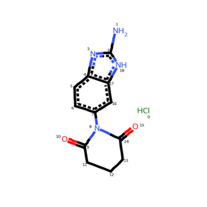 Cl.Nc1nc2ccc(N3C(=O)CCCC3=O)cc2[nH]1